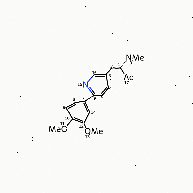 CN[C@@H](Cc1ccc(-c2ccc(OC)c(OC)c2)nc1)C(C)=O